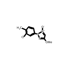 COc1c[n+]([O-])n(-c2ccc(C)c(Cl)c2)n1